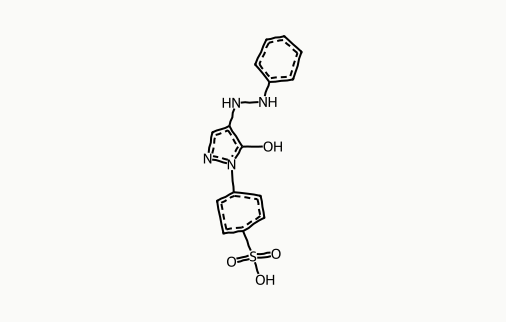 O=S(=O)(O)c1ccc(-n2ncc(NNc3ccccc3)c2O)cc1